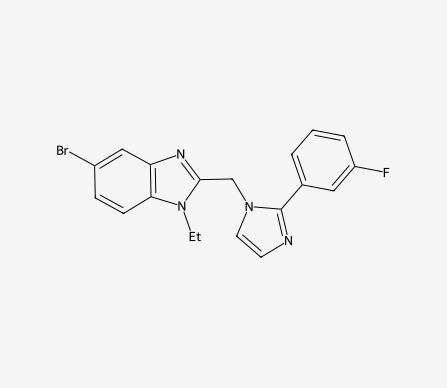 CCn1c(Cn2ccnc2-c2cccc(F)c2)nc2cc(Br)ccc21